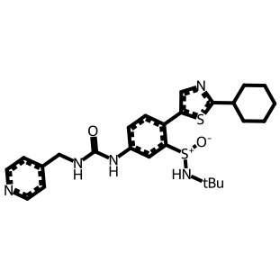 CC(C)(C)N[S+]([O-])c1cc(NC(=O)NCc2ccncc2)ccc1-c1cnc(C2CCCCC2)s1